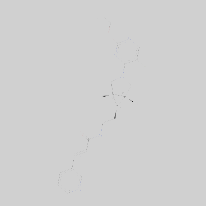 O=C(O)COc1ncc(F)c(N2C[C@@H]3[C@@H](CCNC(=O)/C=C/c4cccnc4)[C@@H]3C2)n1